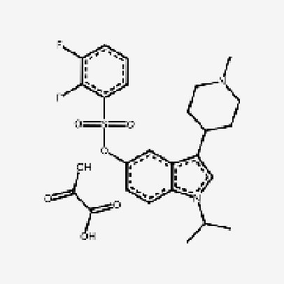 CC(C)n1cc(C2CCN(C)CC2)c2cc(OS(=O)(=O)c3cccc(F)c3F)ccc21.O=C(O)C(=O)O